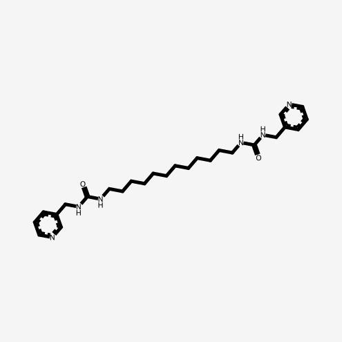 O=C(NCCCCCCCCCCCCNC(=O)NCc1cccnc1)NCc1cccnc1